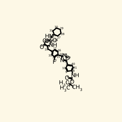 CC(C)(C)OC(=O)Nc1ccc(-c2nc(-c3ccc(CC(NS(=O)(=O)NC4CCCCC4)C(=O)O)cc3F)no2)cc1